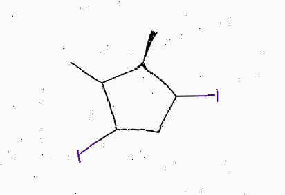 CC1C(I)CC(I)[C@@H]1C